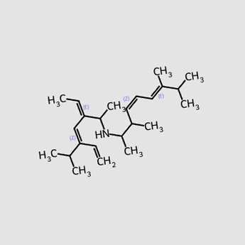 C=C/C(=C\C(=C/C)C(C)NC(C)C(C)/C=C\C=C(/C)C(C)C)C(C)C